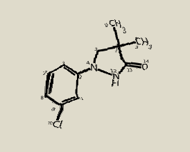 CC1(C)CN(c2cccc(Cl)c2)NC1=O